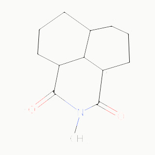 CN1C(=O)C2CCCC3CCCC(C1=O)C32